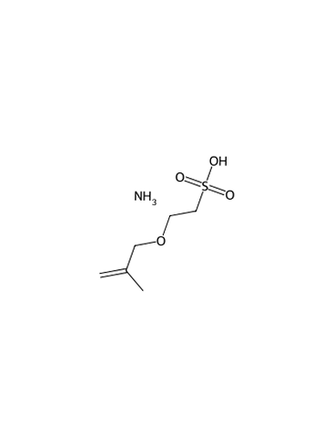 C=C(C)COCCS(=O)(=O)O.N